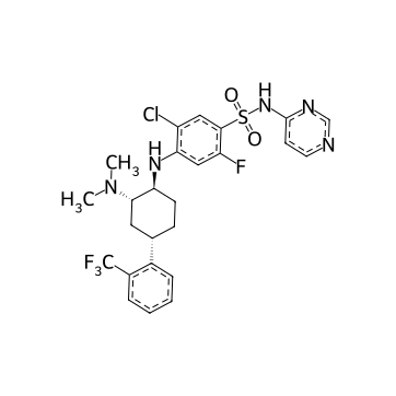 CN(C)[C@H]1C[C@@H](c2ccccc2C(F)(F)F)CC[C@@H]1Nc1cc(F)c(S(=O)(=O)Nc2ccncn2)cc1Cl